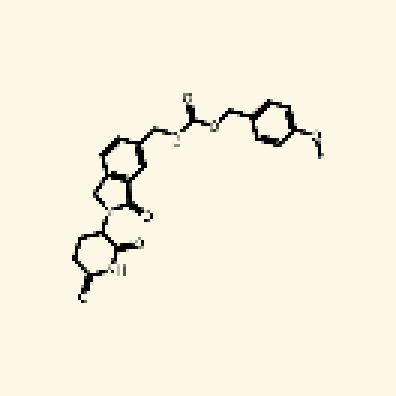 COc1ccc(COC(=O)NCc2ccc3c(c2)C(=O)N(C2CCC(=O)NC2=O)C3)cc1